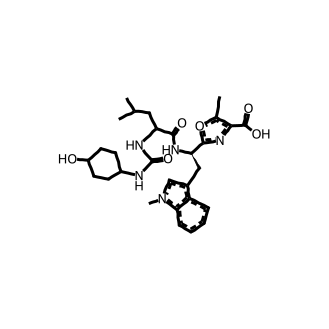 Cc1oc([C@@H](Cc2cn(C)c3ccccc23)NC(=O)C(CC(C)C)NC(=O)NC2CCC(O)CC2)nc1C(=O)O